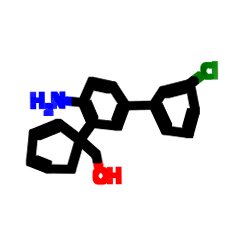 Nc1ccc(-c2cccc(Cl)c2)cc1C1(CO)C=CC=CC1